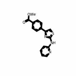 COC(=O)c1ccc(-c2csc(Nc3ccccn3)n2)cc1